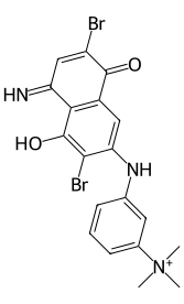 C[N+](C)(C)c1cccc(Nc2cc3c(c(O)c2Br)C(=N)C=C(Br)C3=O)c1